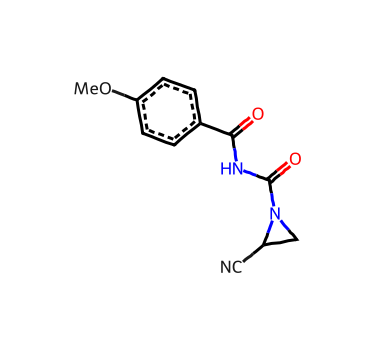 COc1ccc(C(=O)NC(=O)N2CC2C#N)cc1